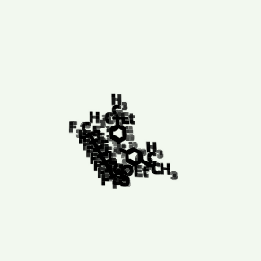 CCC(C)(C)c1ccc([I+]c2ccc(C(C)(C)CC)cc2)cc1.O=S(=O)([O-])C(F)(F)C(F)(F)C(F)(F)C(F)(F)C(F)(F)C(F)(F)C(F)(F)C(F)(F)F